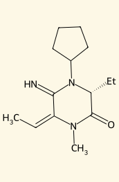 C/C=C1\C(=N)N(C2CCCC2)[C@H](CC)C(=O)N1C